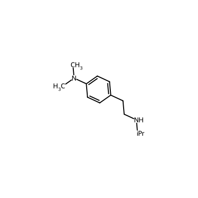 CC(C)NCCc1ccc(N(C)C)cc1